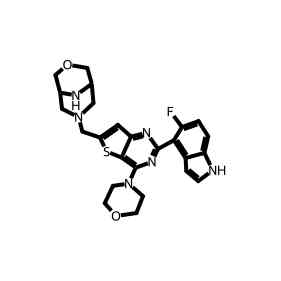 Fc1ccc2[nH]ccc2c1-c1nc(N2CCOCC2)c2sc(CN3CC4COCC(C3)N4)cc2n1